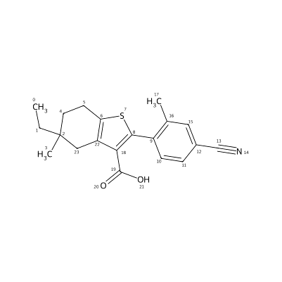 CCC1(C)CCc2sc(-c3ccc(C#N)cc3C)c(C(=O)O)c2C1